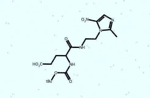 Cc1ncc([N+](=O)[O-])n1CCNC(=O)C(CCC(=O)O)NC(=O)OC(C)(C)C